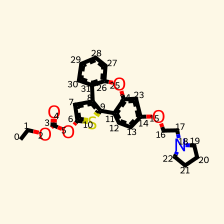 CCOC(=O)Oc1cc2c(s1)-c1ccc(OCCN3CCCC3)cc1Oc1ccccc1-2